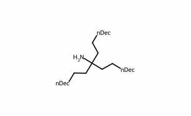 CCCCCCCCCCCCC(N)(CCCCCCCCCCCC)CCCCCCCCCCCC